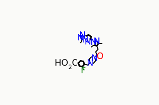 Cc1nn(-c2ccc3nnc(C)n3n2)c(C)c1CCC(=O)N1CCN(Cc2ccc(C(=O)O)cc2F)CC1